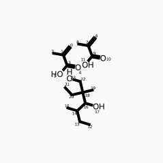 C=C(C)C(=O)O.C=C(C)C(=O)O.CCC(C)C(O)C(C)(CC)CO